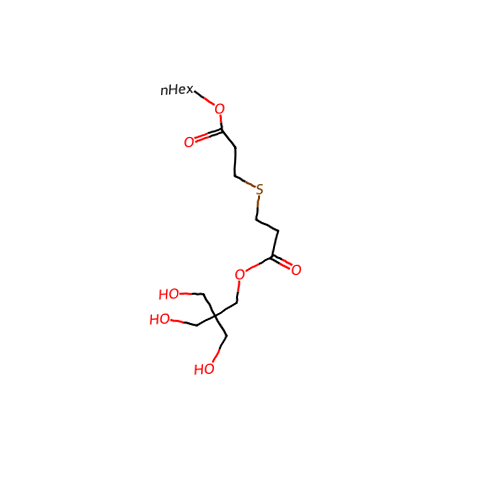 CCCCCCOC(=O)CCSCCC(=O)OCC(CO)(CO)CO